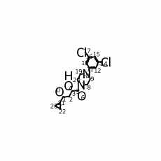 O=C(CC(O)C(=O)N1CCN(c2cc(Cl)cc(Cl)c2)CC1)C1CC1